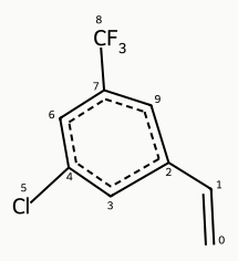 C=Cc1cc(Cl)cc(C(F)(F)F)c1